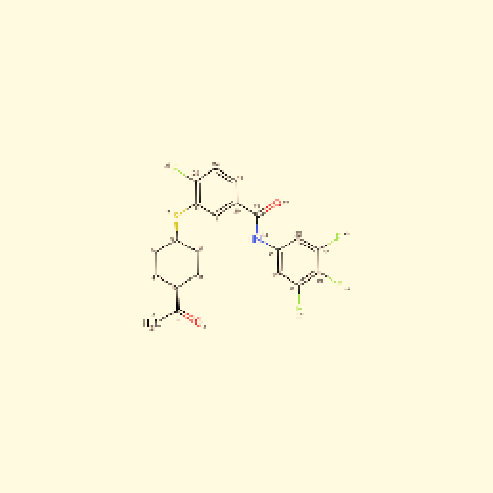 CC(=O)[C@H]1CC[C@@H](Sc2cc(C(=O)Nc3cc(F)c(F)c(F)c3)ccc2F)CC1